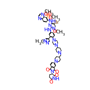 COc1cc(N2CCN(C3CCN(CC4CCN(c5ccc6c(c5)C(=O)N(C5CCC(=O)NC5=O)C6=O)CC4)CC3)CC2)c(-c2cnn(C)c2)cc1Nc1ncc(Br)c(Nc2ccc3nccnc3c2P(=O)(OC)OC)n1